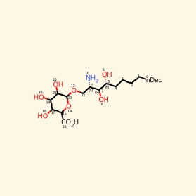 CCCCCCCCCCCCCC[C@@H](O)[C@@H](O)[C@@H](N)COC1OC(C(=O)O)C(O)C(O)C1O